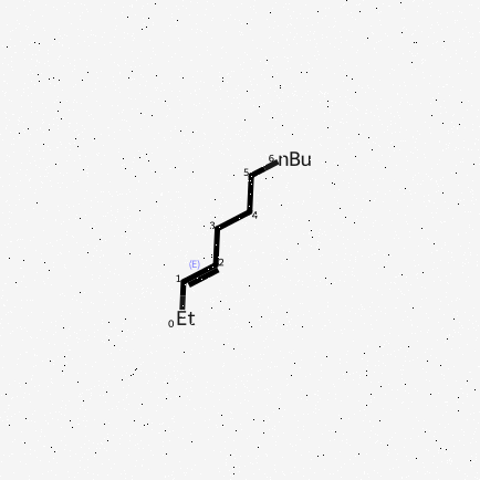 [CH2]C/C=C/CCCCCC[CH2]